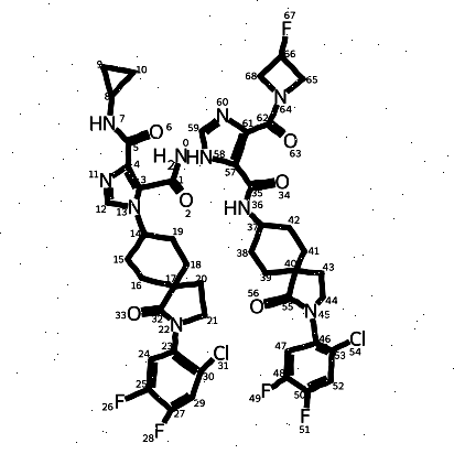 NC(=O)c1c(C(=O)NC2CC2)ncn1C1CCC2(CC1)CCN(c1cc(F)c(F)cc1Cl)C2=O.O=C(NC1CCC2(CC1)CCN(c1cc(F)c(F)cc1Cl)C2=O)c1[nH]cnc1C(=O)N1CC(F)C1